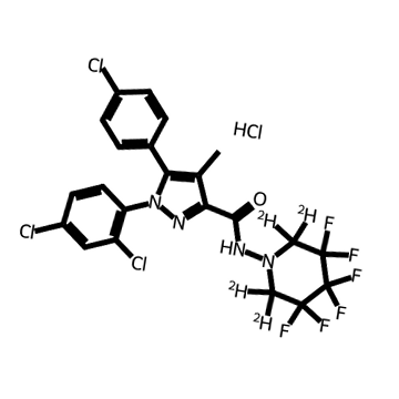 Cl.[2H]C1([2H])N(NC(=O)c2nn(-c3ccc(Cl)cc3Cl)c(-c3ccc(Cl)cc3)c2C)C([2H])([2H])C(F)(F)C(F)(F)C1(F)F